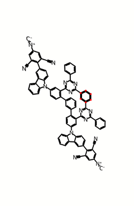 [C-]#[N+]c1cc(C#N)c(-c2ccc3c(c2)c2ccccc2n3-c2ccc(-c3cccc(-c4ccc(-n5c6ccccc6c6cc(-c7c(C#N)cc([N+]#[C-])cc7C#N)ccc65)cc4-c4nc(-c5ccccc5)nc(-c5ccccc5)n4)c3)c(-c3nc(-c4ccccc4)nc(-c4ccccc4)n3)c2)c(C#N)c1